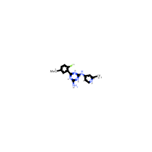 COc1ccc(F)c(-c2nc(N)nc(Nc3ccnc(C(F)(F)F)c3)n2)c1